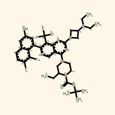 CCC1CN(c2nc(N3CC(N(CC)CC)C3)nc3c(C(F)(F)Cl)c(-c4cc(O)cc5ccc(F)c(F)c45)ncc23)CCN1C(=O)OC(C)(C)C